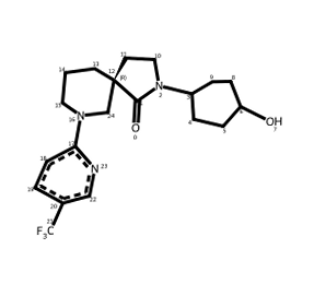 O=C1N(C2CCC(O)CC2)CC[C@@]12CCCN(c1ccc(C(F)(F)F)cn1)C2